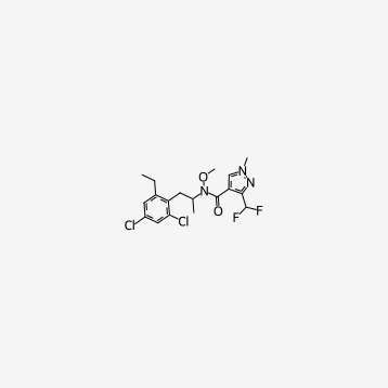 CCc1cc(Cl)cc(Cl)c1CC(C)N(OC)C(=O)c1cn(C)nc1C(F)F